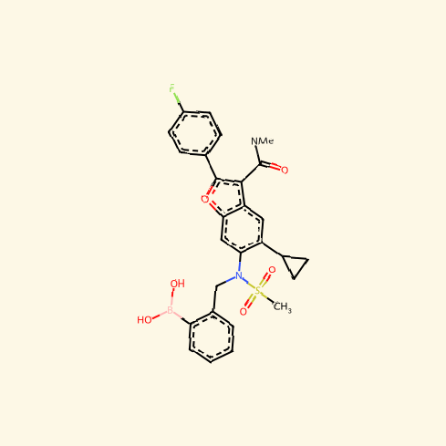 CNC(=O)c1c(-c2ccc(F)cc2)oc2cc(N(Cc3ccccc3B(O)O)S(C)(=O)=O)c(C3CC3)cc12